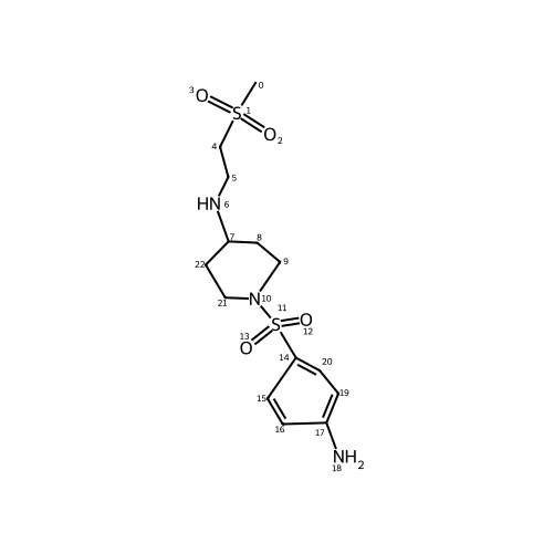 CS(=O)(=O)CCNC1CCN(S(=O)(=O)c2ccc(N)cc2)CC1